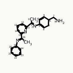 C/C(=N\C1=CCC(CN)C=C1)c1cccc(/C(C)=N/c2ccccc2)n1